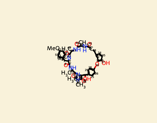 COc1ccc(CC2C(=O)NC(C)C(=O)N(C)C(C(=O)N(C)C)C(O)c3ccc(cc3)Oc3cc(ccc3O)CCC(=O)NC(C)C(=O)NC(C)C(=O)N2C)cc1